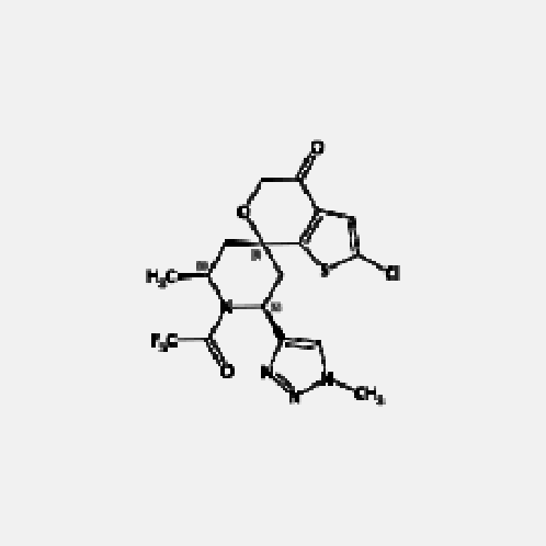 C[C@H]1C[C@@]2(C[C@@H](c3cn(C)nn3)N1C(=O)C(F)(F)F)OCC(=O)c1cc(Cl)sc12